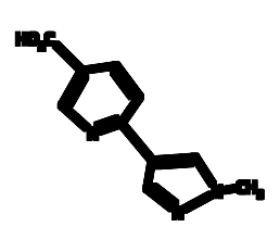 Cn1cc(-c2ccc(C(=O)O)cn2)cn1